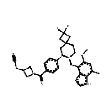 COc1cc(C)c2[nH]ccc2c1CN1CCC2(C[C@@H]1c1ccc(C(=O)N3CC(CC#N)C3)cc1)CC(F)(F)C2